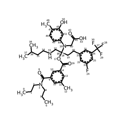 CCCN(CCC)C(=O)c1cc(C)cc(C(=O)O[C@](CCc2cc(F)cc(C(F)(F)F)c2)(CNCCC(C)C)N(CC(=O)O)c2ccc(C)c(O)c2)c1